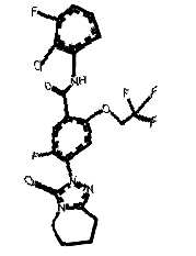 O=C(Nc1cccc(F)c1Cl)c1cc(F)c(-n2nc3n(c2=O)CCCC3)cc1OCC(F)(F)F